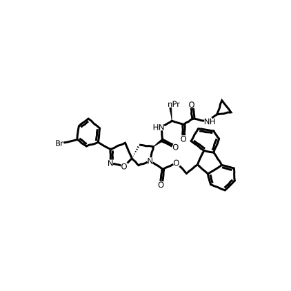 CCC[C@H](NC(=O)[C@@H]1C[C@]2(CC(c3cccc(Br)c3)=NO2)CN1C(=O)OCC1c2ccccc2-c2ccccc21)C(=O)C(=O)NC1CC1